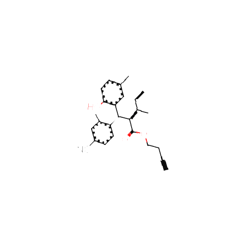 C#CCCOC(=O)/C(=C(\C)C=C)[C@@H](c1ccc(C#N)cc1C)c1cc(C)ccc1O